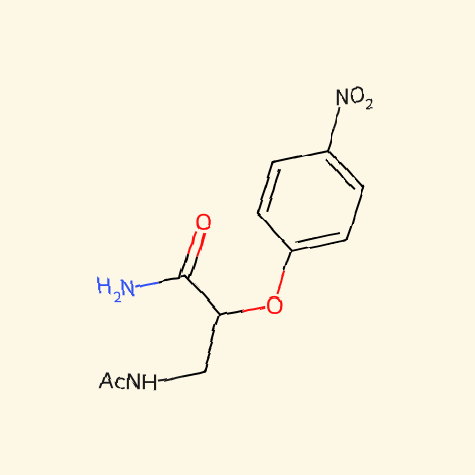 CC(=O)NCC(Oc1ccc([N+](=O)[O-])cc1)C(N)=O